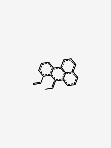 C=Cc1cccc2c1/c(=C\C)c1cccc3cccc2c31